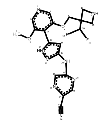 COc1cncc(OCC2(C(F)F)CNC2)c1-c1cc(Nc2cnc(C#N)cn2)n[nH]1